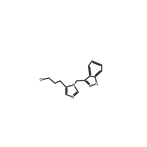 ClCCCc1cncn1Cc1noc2ccccc12